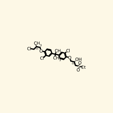 CCS(=O)(=O)C[C@@H](O)COc1ccc(C(C)(C)c2ccc(OC[C@H](C)CCl)c(Cl)c2)cc1Cl